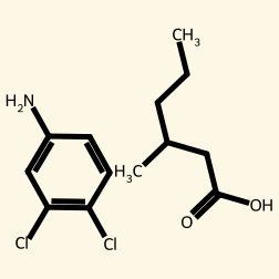 CCCC(C)CC(=O)O.Nc1ccc(Cl)c(Cl)c1